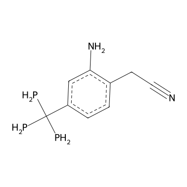 N#CCc1ccc(C(P)(P)P)cc1N